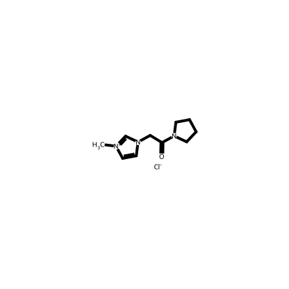 C[n+]1ccn(CC(=O)N2CCCC2)c1.[Cl-]